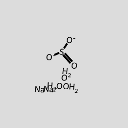 O.O.O.O=S([O-])[O-].[Na+].[Na+]